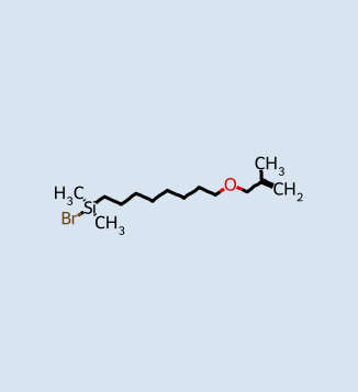 C=C(C)COCCCCCCCC[Si](C)(C)Br